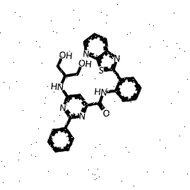 O=C(Nc1ccccc1-c1nc2cccnc2s1)c1cc(NC(CO)CO)nc(-c2ccccc2)n1